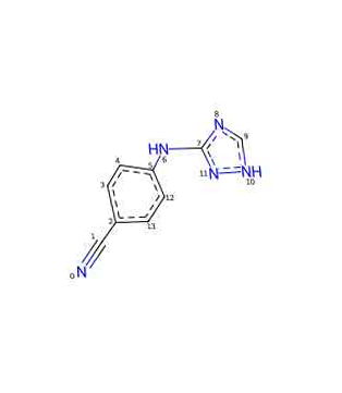 N#Cc1ccc(Nc2nc[nH]n2)cc1